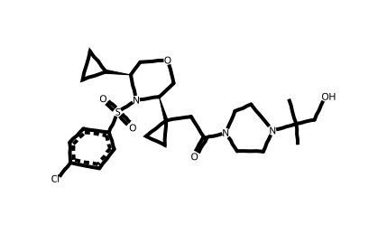 CC(C)(CO)N1CCN(C(=O)CC2([C@@H]3COC[C@H](C4CC4)N3S(=O)(=O)c3ccc(Cl)cc3)CC2)CC1